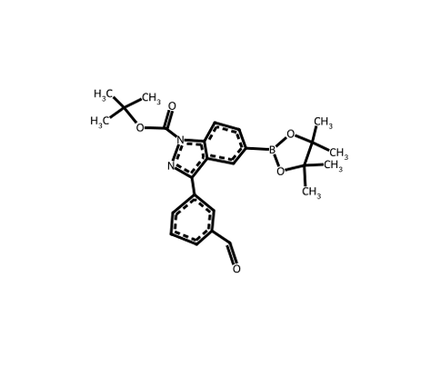 CC(C)(C)OC(=O)n1nc(-c2cccc(C=O)c2)c2cc(B3OC(C)(C)C(C)(C)O3)ccc21